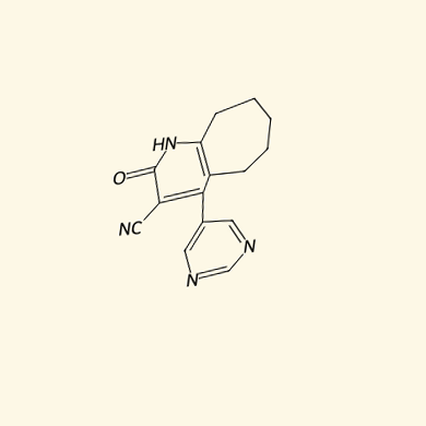 N#Cc1c(-c2cncnc2)c2c([nH]c1=O)CCCCC2